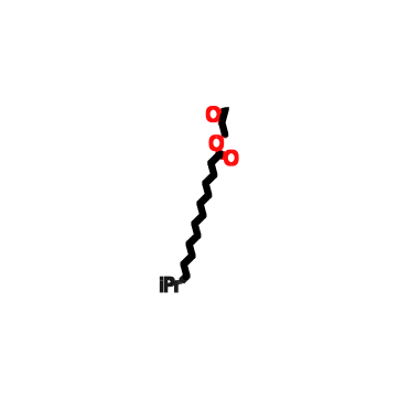 CC(C)CCCCCCCCCCCCC(=O)OCC1CO1